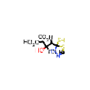 O=C(O)CC(O)(C(=O)O)C(C(=O)O)C1(S)NN=CS1